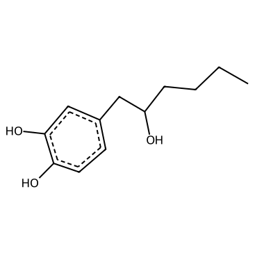 CCCCC(O)Cc1ccc(O)c(O)c1